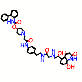 O=C(CNCC(O)c1ccc(O)c2[nH]c(=O)ccc12)NCCc1ccc(NC(=O)CCN2CCC(OC(=O)Nc3ccccc3-c3ccccc3)CC2)cc1